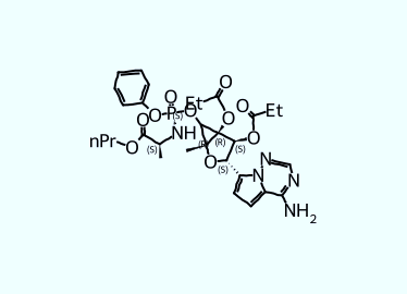 CCCOC(=O)[C@H](C)N[P@@](=O)(Oc1ccccc1)OC1[C@@]2(C)O[C@@H](c3ccc4c(N)ncnn34)[C@H](OC(=O)CC)[C@@]12OC(=O)CC